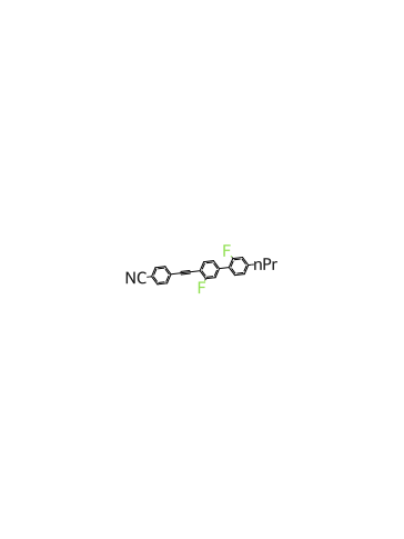 CCCc1ccc(-c2ccc(C#Cc3ccc(C#N)cc3)c(F)c2)c(F)c1